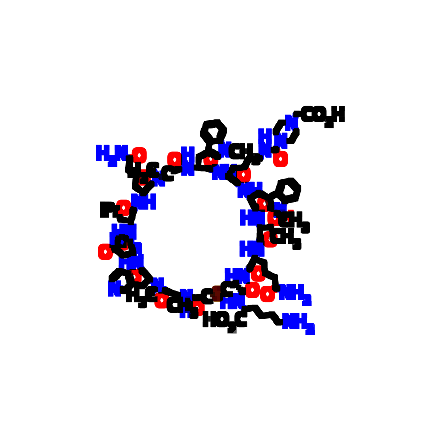 CC(C)C[C@@H]1NC(=O)[C@H](CC(N)=O)NC(=O)[C@H](Cc2cccnc2)N(C)C(=O)[C@@H](C)NC(=O)CSC[C@@H](C(=O)N[C@H](CCCCN)C(=O)O)NC(=O)[C@H](CCCC(N)=O)NC(=O)[C@H]([C@@H](C)O)NC(=O)[C@H](Cc2cn(C)c3ccccc23)NC(=O)[C@H](CCCCNC(=O)N2CCN(CC(=O)O)CC2)NC(=O)[C@H](Cc2cn(C)c3ccccc23)NC(=O)CN(C)C(=O)[C@H](CCCC(N)=O)NC1=O